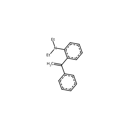 C=C(c1ccccc1)c1ccccc1N(CC)CC